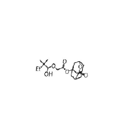 CCC(C)(C)C(O)OCC(=O)OC12CC3CC(C1)OC(=O)C(C3)C2